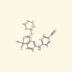 N#Cc1cnc(Nc2cc(NCC3CCCOC3)c(C(F)(F)F)nn2)cn1